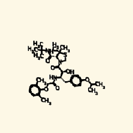 Cc1cccc(C)c1OCC(=O)N[C@@H](Cc1ccc(OC(C)C)cc1)[C@H](O)C(=O)N1CSC(C)(C)[C@H]1C(=O)NC(C)(C)C